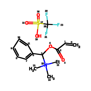 C=CC(=O)OC(c1ccccc1)[N+](C)(C)CC.O=S(=O)(O)C(F)(F)F